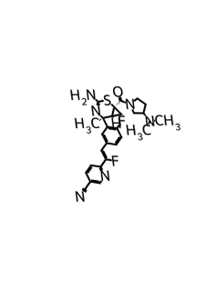 CN(C)C1CCN(C(=O)[C@]23C[C@H]2[C@@](C)(c2cc(/C=C(\F)c4ccc(C#N)cn4)ccc2F)N=C(N)S3)C1